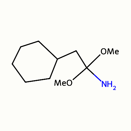 COC(N)(CC1CCCCC1)OC